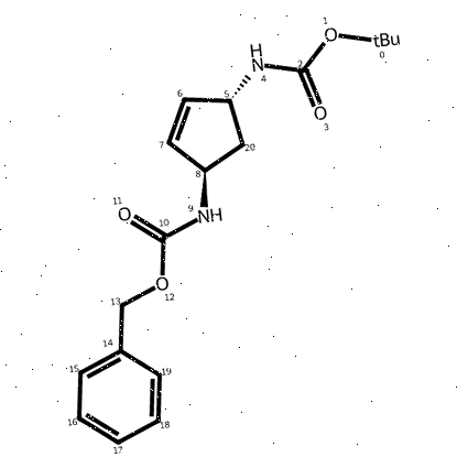 CC(C)(C)OC(=O)N[C@H]1C=C[C@H](NC(=O)OCc2ccccc2)C1